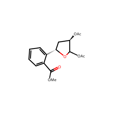 COC(=O)c1ccccc1[C@@H]1C[C@@H](OC(C)=O)C(OC(C)=O)O1